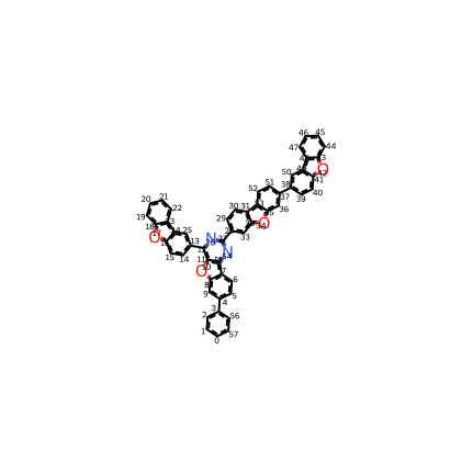 c1ccc(-c2ccc3c(c2)oc2c(-c4ccc5oc6ccccc6c5c4)nc(-c4ccc5c(c4)oc4cc(-c6ccc7oc8ccccc8c7c6)ccc45)nc23)cc1